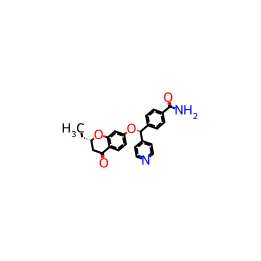 CC[C@H]1CC(=O)c2ccc(O[C@@H](c3ccncc3)c3ccc(C(N)=O)cc3)cc2O1